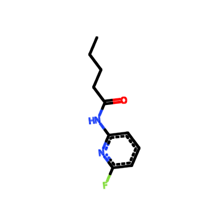 CCCCC(=O)Nc1cccc(F)n1